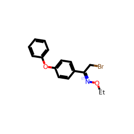 CCO/N=C(\CBr)c1ccc(Oc2ccccc2)cc1